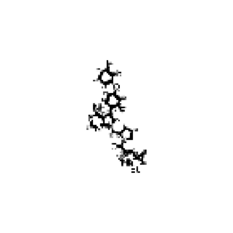 CCNC1(C=C(C#N)C(=O)N2CCCC2Cn2nc(-c3ccc(Oc4cccc(F)c4F)cc3F)c3c(N)ncnc32)CC1